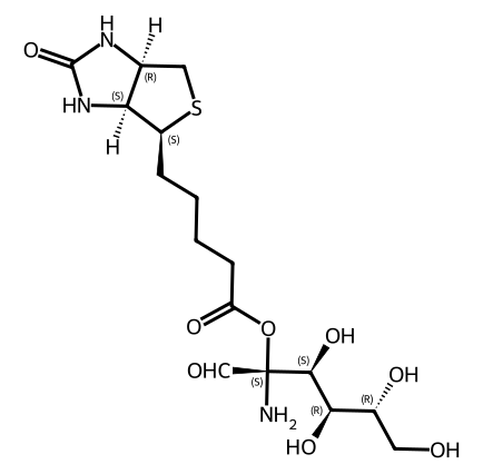 N[C@](C=O)(OC(=O)CCCC[C@@H]1SC[C@@H]2NC(=O)N[C@@H]21)[C@@H](O)[C@H](O)[C@H](O)CO